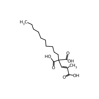 CCCCCCCCCCC(C=C(C)C(=O)O)(C(=O)O)C(=O)O